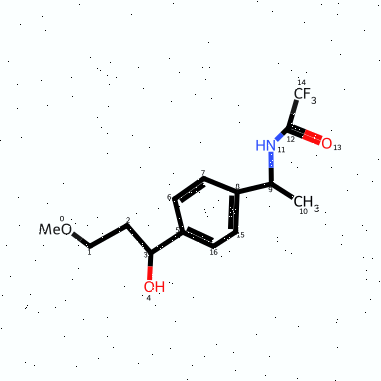 COCCC(O)c1ccc(C(C)NC(=O)C(F)(F)F)cc1